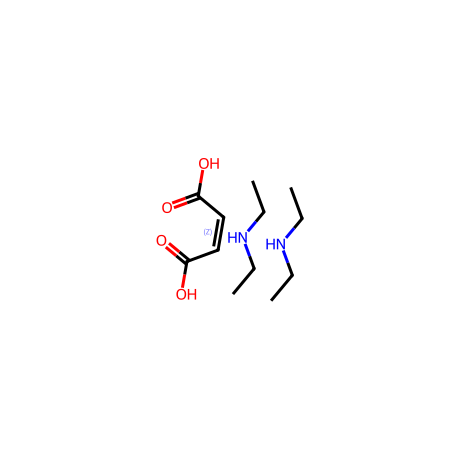 CCNCC.CCNCC.O=C(O)/C=C\C(=O)O